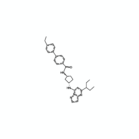 CCc1ccc(-c2ccc(C(=O)N[C@H]3CC[C@H](Nc4cc(C(CC)CC)nc5ccnn45)C3)cc2)cc1